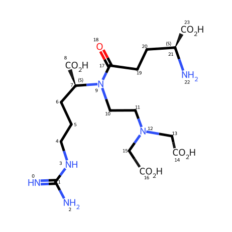 N=C(N)NCCC[C@@H](C(=O)O)N(CCN(CC(=O)O)CC(=O)O)C(=O)CC[C@H](N)C(=O)O